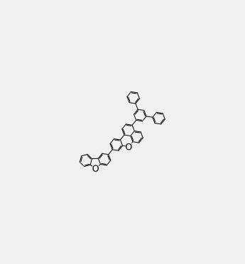 c1ccc(-c2cc(-c3ccccc3)cc(-c3ccc4c5c(cccc35)Oc3cc(-c5ccc6oc7ccccc7c6c5)ccc3-4)c2)cc1